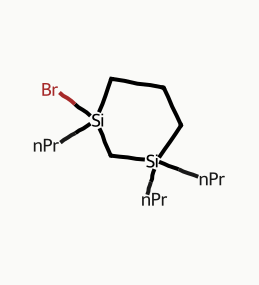 CCC[Si]1(Br)CCC[Si](CCC)(CCC)C1